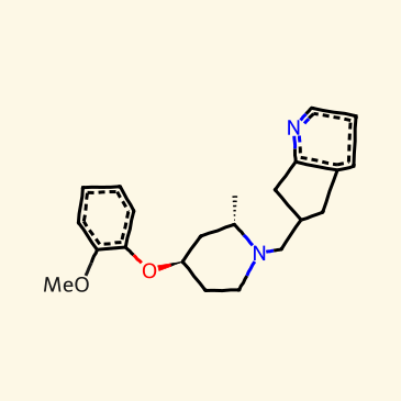 COc1ccccc1O[C@@H]1CCN(CC2Cc3cccnc3C2)[C@@H](C)C1